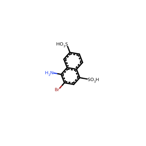 Nc1c(Br)cc(S(=O)(=O)O)c2ccc(S(=O)(=O)O)cc12